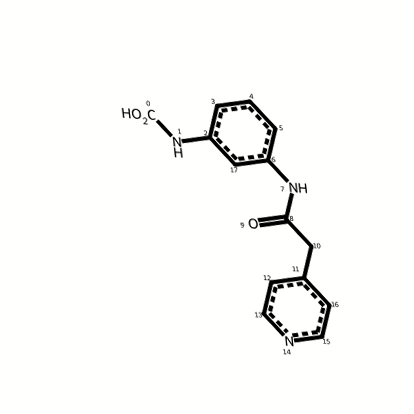 O=C(O)Nc1cccc(NC(=O)Cc2ccncc2)c1